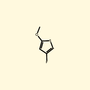 COc1cc(F)[c]s1